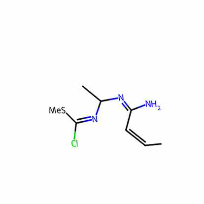 C/C=C\C(N)=N/C(C)/N=C(/Cl)SC